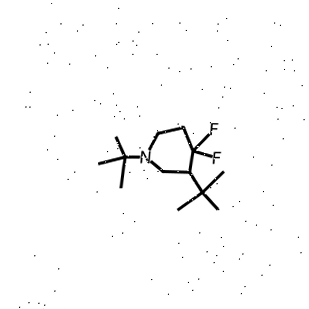 CC(C)(C)C1CN(C(C)(C)C)CCC1(F)F